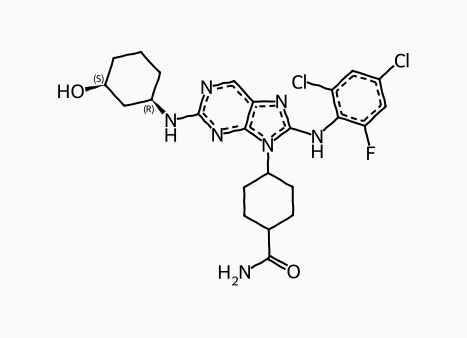 NC(=O)C1CCC(n2c(Nc3c(F)cc(Cl)cc3Cl)nc3cnc(N[C@@H]4CCC[C@H](O)C4)nc32)CC1